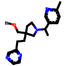 CCOCC1(CCc2cnccn2)CCN(C(C)c2ccc(C)nc2)C1